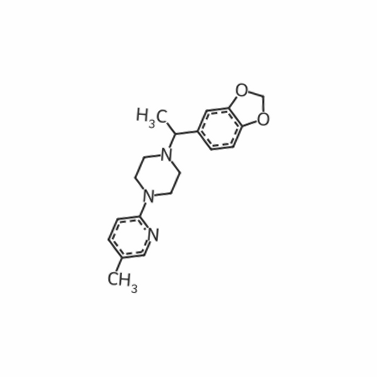 Cc1ccc(N2CCN(C(C)c3ccc4c(c3)OCO4)CC2)nc1